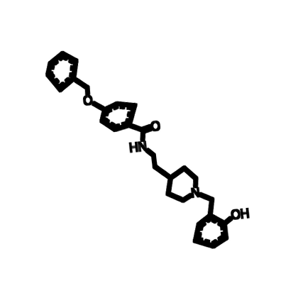 O=C(NCCC1CCN(Cc2ccccc2O)CC1)c1ccc(OCc2ccccc2)cc1